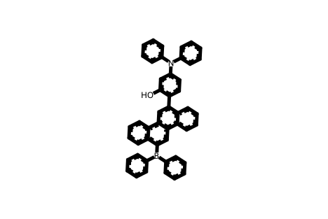 Oc1cc(N(c2ccccc2)c2ccccc2)ccc1-c1cc2c3ccccc3c(B(c3ccccc3)c3ccccc3)cc2c2ccccc12